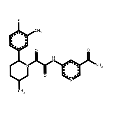 Cc1cc(C2CCC(C)CN2C(=O)C(=O)Nc2cncc(C(N)=O)c2)ccc1F